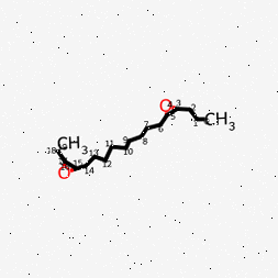 CCCC1OC1CCCCCCCCCC1OC1CC